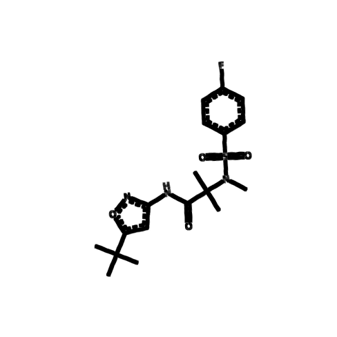 CN(C(C)(C)C(=O)Nc1cc(C(C)(C)C)on1)S(=O)(=O)c1ccc(F)cc1